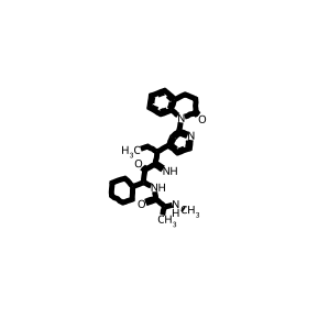 CCC(C(=N)C(=O)C(NC(=O)C(C)NC)C1CCCCC1)c1ccnc(N2C(=O)CCc3ccccc32)c1